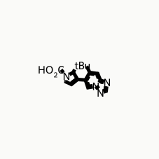 Cc1cc2ncnn2cc1C1=CCN(C(=O)O)C1C(C)(C)C